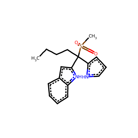 CCCCC(c1ccc[nH]1)(c1cc2ccccc2[nH]1)S(C)(=O)=O